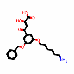 NCCCCCCOc1cc(OCc2ccccc2)cc(C(=O)C=C(O)C(=O)O)c1